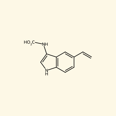 C=Cc1ccc2[nH]cc(NC(=O)O)c2c1